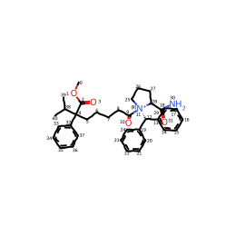 COC(=O)C(CCCCC(=O)[N@@+]1(C(c2ccccc2)c2ccccc2)CCCC1C(N)=O)(c1ccccc1)C(C)C